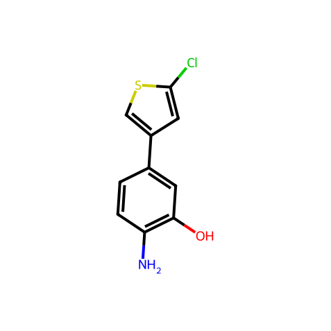 Nc1ccc(-c2csc(Cl)c2)cc1O